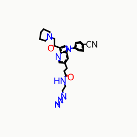 N#Cc1ccc(-n2cc(C(=O)CN3CCCCC3)c3ncc(CCC(=O)NCCN=[N+]=[N-])cc32)cc1